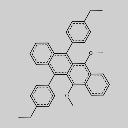 CCc1ccc(-c2c3ccccc3c(-c3ccc(CC)cc3)c3c(OC)c4ccccc4c(OC)c23)cc1